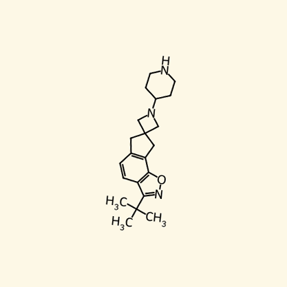 CC(C)(C)c1noc2c3c(ccc12)CC1(C3)CN(C2CCNCC2)C1